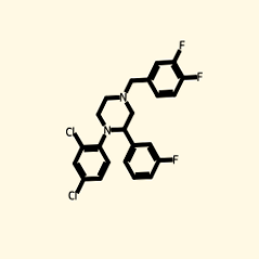 Fc1cccc(C2CN(Cc3ccc(F)c(F)c3)CCN2c2ccc(Cl)cc2Cl)c1